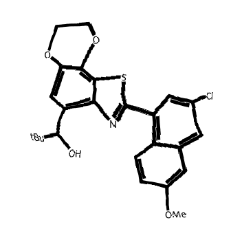 COc1ccc2c(-c3nc4c(C(O)C(C)(C)C)cc5c(c4s3)OCCO5)cc(Cl)cc2c1